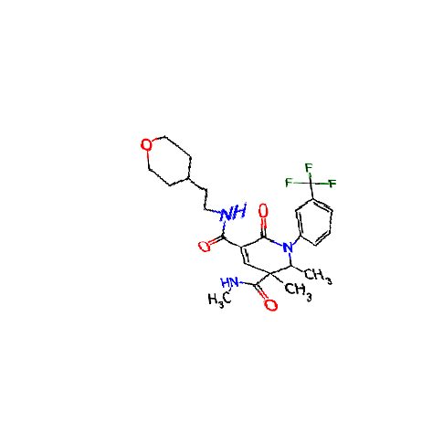 CNC(=O)C1(C)C=C(C(=O)NCCC2CCOCC2)C(=O)N(c2cccc(C(F)(F)F)c2)C1C